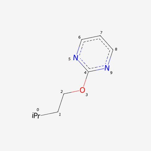 CC(C)CCOc1ncccn1